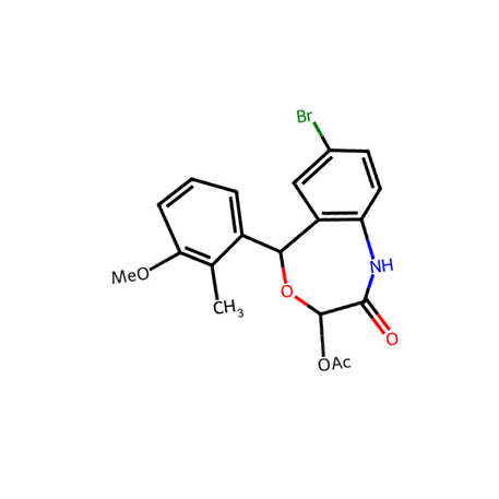 COc1cccc(C2OC(OC(C)=O)C(=O)Nc3ccc(Br)cc32)c1C